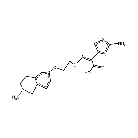 CN1CCc2cc(OCCO/N=C(\C(=O)O)c3csc(N)n3)ccc2C1